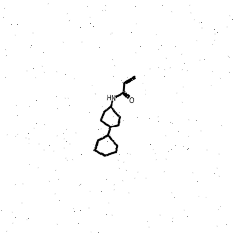 C=CC(=O)NC1CCC(C2CCCCC2)CC1